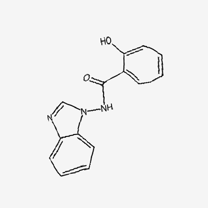 O=C(Nn1cnc2ccccc21)c1ccccc1O